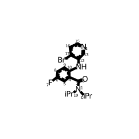 CC(C)N(C(=O)c1cc(F)ccc1Nc1cnccc1Br)C(C)C